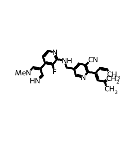 C=C(C)/C=C(\C=C/C)c1ncc(CNc2nccc(/C(C=N)=C/NC)c2F)cc1C#N